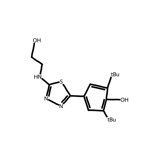 CC(C)(C)c1cc(-c2nnc(NCCO)s2)cc(C(C)(C)C)c1O